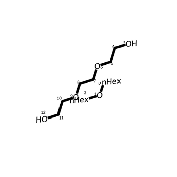 CCCCCCOCCCCCC.OCCOCCOCCO